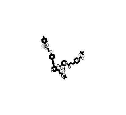 Cc1ccc(S(=O)(=O)OCCOc2ccc(C#Cc3cncc(C(CC(=O)OC(C)(C)C)NC(=O)[C@@H]4CCCN(C(=O)CCC5CCN(C(=O)OC(C)(C)C)CC5)C4)c3)cc2)cc1